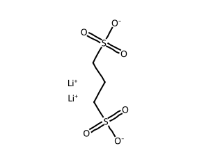 O=S(=O)([O-])CCCS(=O)(=O)[O-].[Li+].[Li+]